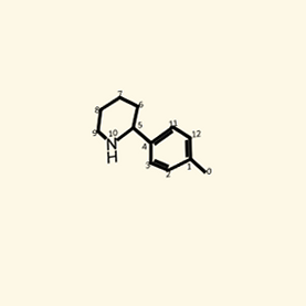 Cc1ccc(C2CCCCN2)cc1